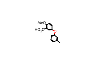 COc1ccc(Oc2cccc(C)c2)cc1C(=O)O